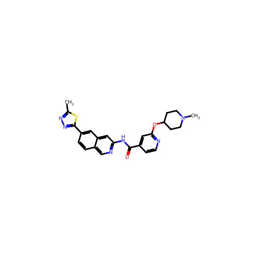 Cc1nnc(-c2ccc3cnc(NC(=O)c4ccnc(OC5CCN(C)CC5)c4)cc3c2)s1